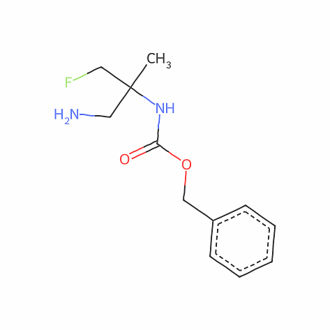 CC(CN)(CF)NC(=O)OCc1ccccc1